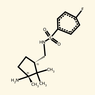 CC1(C)[C@@H](CNS(=O)(=O)c2ccc(F)cc2)CC[C@@]1(C)N